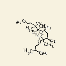 CCC(CC(C)OC(C)(CC)C(C)(C)CCOC(C)C)C(C)(C)OCCC(C)O